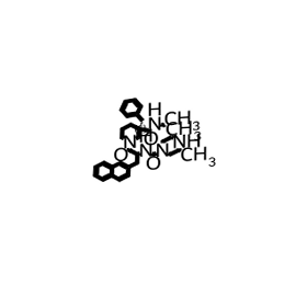 CCNC(=O)[C@]1(Cc2ccccc2)CCCN(C(=O)C(Cc2ccc3ccccc3c2)NC(=O)N2CC(C)NC(C)C2)C1